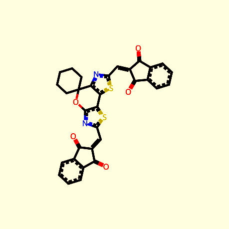 O=C1C(=Cc2nc3c(s2)-c2sc(C=C4C(=O)c5ccccc5C4=O)nc2C2(CCCCC2)O3)C(=O)c2ccccc21